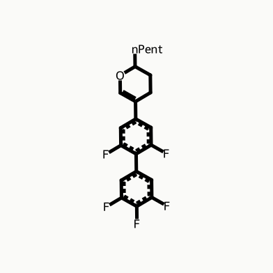 CCCCCC1CCC(c2cc(F)c(-c3cc(F)c(F)c(F)c3)c(F)c2)=CO1